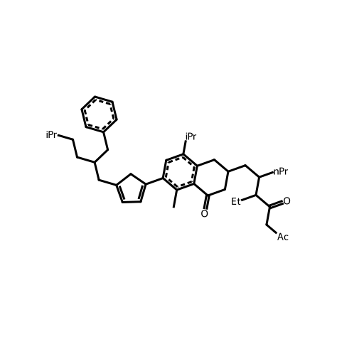 CCCC(CC1CC(=O)c2c(C)c(C3=CC=C(CC(CCC(C)C)Cc4ccccc4)C3)cc(C(C)C)c2C1)C(CC)C(=O)CC(C)=O